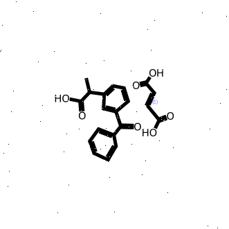 CC(C(=O)O)c1cccc(C(=O)c2ccccc2)c1.O=C(O)/C=C/C(=O)O